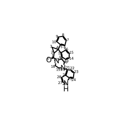 O=C(C1CC1(c1ccccc1)c1ccccc1)N1CCN(c2cccc3[nH]ccc23)CC1